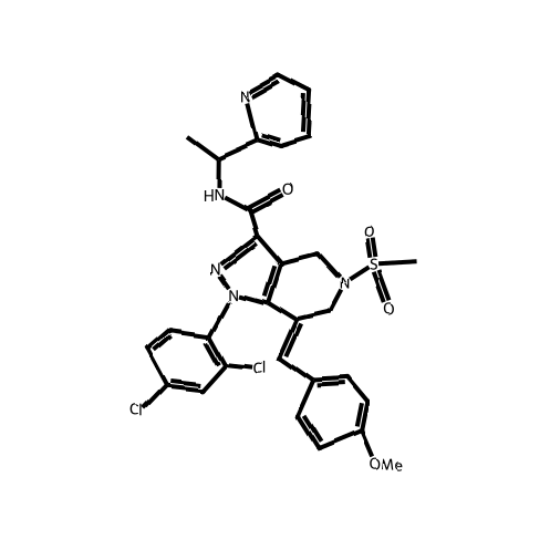 COc1ccc(/C=C2\CN(S(C)(=O)=O)Cc3c(C(=O)NC(C)c4ccccn4)nn(-c4ccc(Cl)cc4Cl)c32)cc1